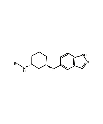 CC(C)N[C@@H]1CCC[C@@H](Oc2ccc3[nH]ncc3c2)C1